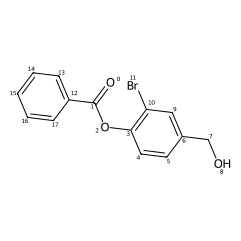 O=C(Oc1ccc(CO)cc1Br)c1ccccc1